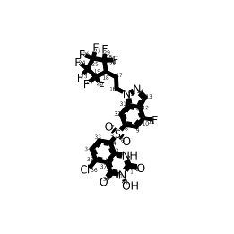 O=c1[nH]c2c(S(=O)(=O)c3cc(F)c4cnn(CCC5C(F)(F)C(F)(F)C(F)(F)C5(F)F)c4c3)ccc(Cl)c2c(=O)n1O